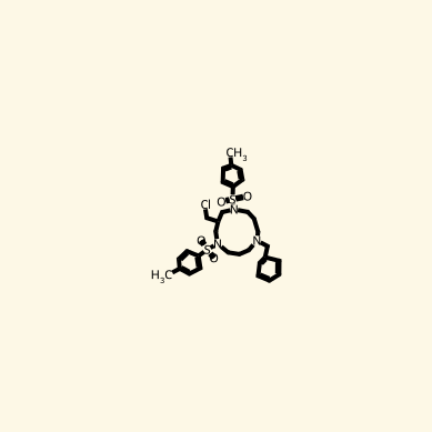 Cc1ccc(S(=O)(=O)N2CCCN(Cc3ccccc3)CCCN(S(=O)(=O)c3ccc(C)cc3)CC(CCl)C2)cc1